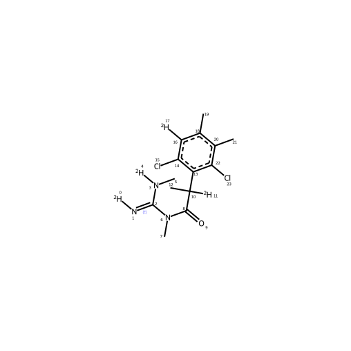 [2H]/N=C(\N([2H])C)N(C)C(=O)C([2H])(C)c1c(Cl)c([2H])c(C)c(C)c1Cl